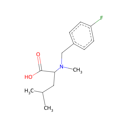 CC(C)CC(C(=O)O)N(C)Cc1ccc(F)cc1